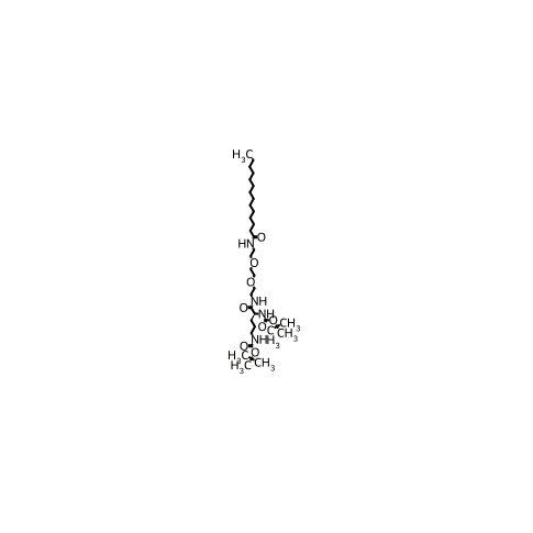 CCCCCCCCCCCCCC(=O)NCCOCCOCCNC(=O)[C@H](CCCNC(=O)OC(C)(C)C)NC(=O)OC(C)(C)C